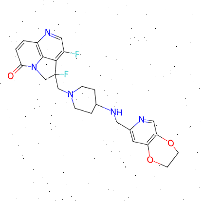 O=c1ccc2ncc(F)c3c2n1CC3(F)CN1CCC(NCc2cc3c(cn2)OCCO3)CC1